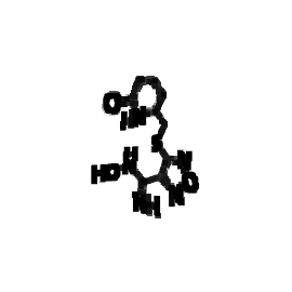 N=C(NO)c1nonc1SCc1cccc(=O)[nH]1